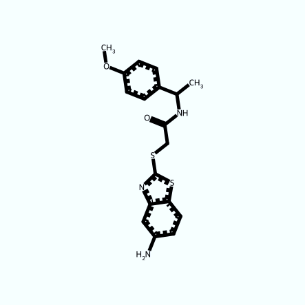 COc1ccc(C(C)NC(=O)CSc2nc3cc(N)ccc3s2)cc1